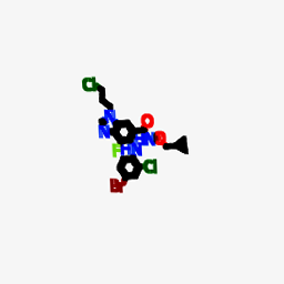 O=C(NOCC1CC1)c1cc2c(ncn2CCCCl)c(F)c1Nc1ccc(Br)cc1Cl